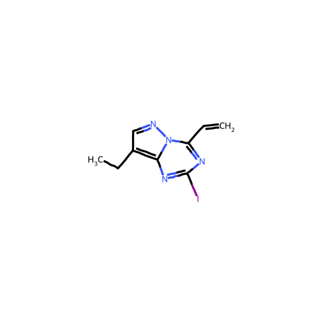 C=Cc1nc(I)nc2c(CC)cnn12